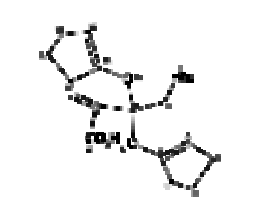 C=C(C(=O)O)C(CC(C)(C)C)(OC1=CCCC1)OC1=CCCC1